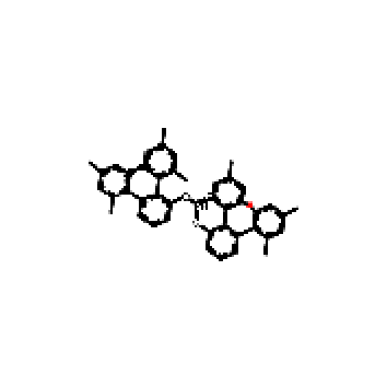 Cc1cc(C)c(-c2cccc(O[PH](=O)Oc3cccc(-c4c(C)cc(C)cc4C)c3-c3c(C)cc(C)cc3C)c2-c2c(C)cc(C)cc2C)c(C)c1